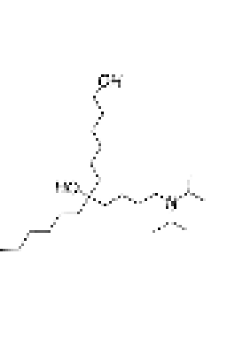 CC(C)N(CCCCC(O)(CCCCCCO)CCCCCCO)C(C)C